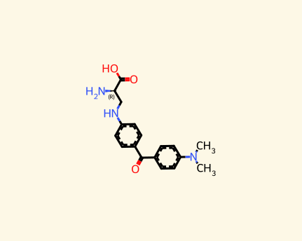 CN(C)c1ccc(C(=O)c2ccc(NC[C@@H](N)C(=O)O)cc2)cc1